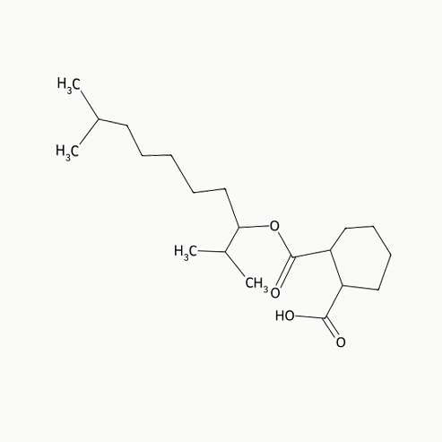 CC(C)CCCCCC(OC(=O)C1CCCCC1C(=O)O)C(C)C